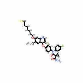 COc1cc2c(Oc3ccc(N(C(=O)C4(C(N)=O)CC4)c4ccc(F)cc4)cc3F)ccnc2cc1OCCCCCCCS